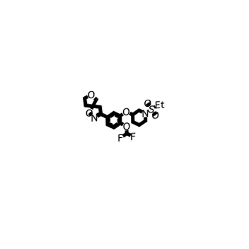 CCS(=O)(=O)N1CCCC(Oc2cc(C3=NOC4(CCOC4)C3)ccc2OC(F)F)C1